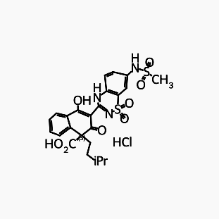 CC(C)CC[C@@]1(C(=O)O)C(=O)C(C2=NS(=O)(=O)c3cc(NS(C)(=O)=O)ccc3N2)=C(O)c2ccccc21.Cl